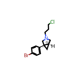 ClCCCN1C[C@H]2C[C@]2(c2ccc(Br)cc2)C1